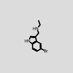 CCNCc1c[nH]c2ccc(Br)cc12